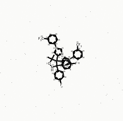 CC1(C)ONC(c2ccc(F)cc2)(c2ccc(F)cc2)C1(c1cn(-c2cccc(C(F)(F)F)c2)cn1)c1cn(-c2cccc(C(F)(F)F)c2)cn1